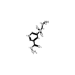 COC(=O)c1cncc(S(=O)(=O)CN=N)c1